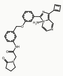 N[N+]12C=CN=CC1=C(C1=CC=C1)N=C2c1cccc(OCc2cccc(NC(=O)CN3CCCC3=O)c2)c1